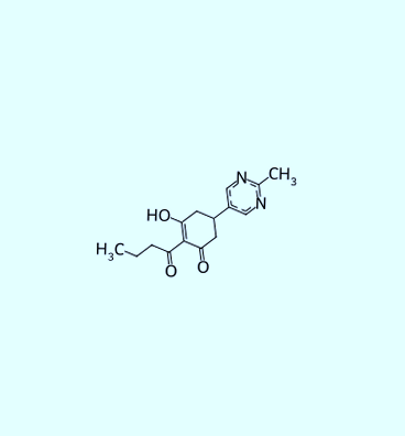 CCCC(=O)C1=C(O)CC(c2cnc(C)nc2)CC1=O